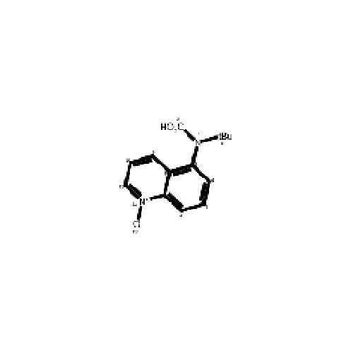 CC(C)(C)N(C(=O)O)c1cccc2c1ccc[n+]2[O-]